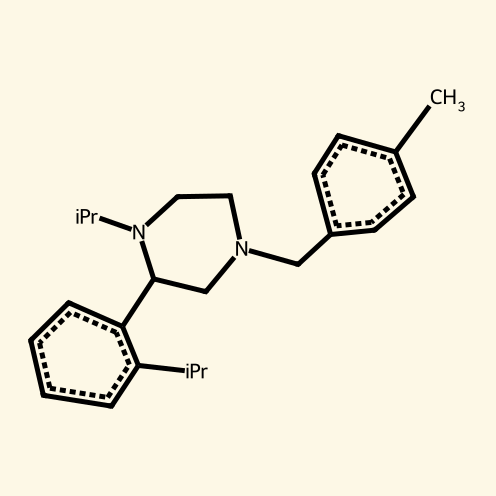 Cc1ccc(CN2CCN(C(C)C)C(c3ccccc3C(C)C)C2)cc1